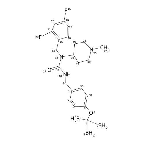 BC(B)(B)Oc1ccc(CNC(=O)N(Cc2ccc(F)cc2F)C2CCN(C)CC2)cc1